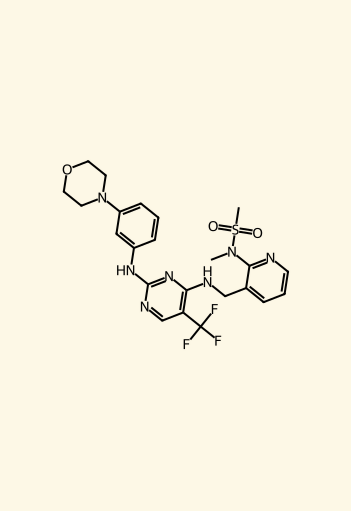 CN(c1ncccc1CNc1nc(Nc2cccc(N3CCOCC3)c2)ncc1C(F)(F)F)S(C)(=O)=O